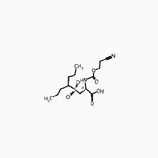 CCCC(CCC)S(=O)(=O)C[C@@H](NC(=O)OCCC#N)C(=O)O